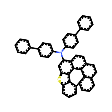 c1ccc(-c2ccc(N(c3ccc(-c4ccccc4)cc3)c3cc4sc5cccc6c5c4c4c3ccc3ccc5cccc-6c5c34)cc2)cc1